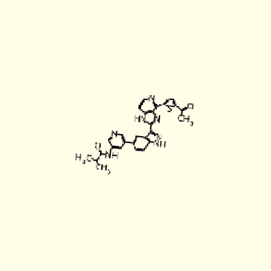 CC(=O)c1ccc(-c2nccc3[nH]c(-c4n[nH]c5ccc(-c6cncc(NC(=O)C(C)C)c6)cc45)nc23)s1